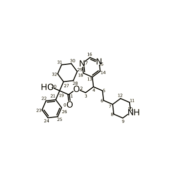 O=C(OCC(CCC1CCNCC1)c1cncnc1)C(O)(c1ccccc1)C1CCCCC1